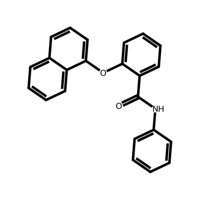 O=C(Nc1ccccc1)c1ccccc1Oc1cccc2ccccc12